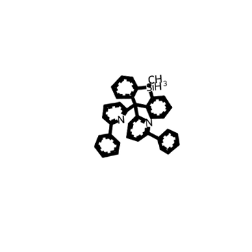 C[SiH]1c2ccccc2C(c2cccc(-c3ccccc3)n2)(c2cccc(-c3ccccc3)n2)c2ccccc21